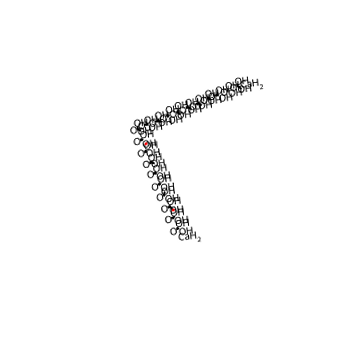 O=C(O)O.O=C(O)O.O=C(O)O.O=C(O)O.O=C(O)O.O=C(O)O.O=C(O)O.O=C(O)O.O=C(O)O.O=C(O)O.O=C(O)O.O=C(O)O.O=C(O)O.O=C(O)O.O=C(O)O.O=C(O)O.O=C(O)O.O=C(O)O.O=C(O)O.O=C(O)O.[CaH2].[CaH2]